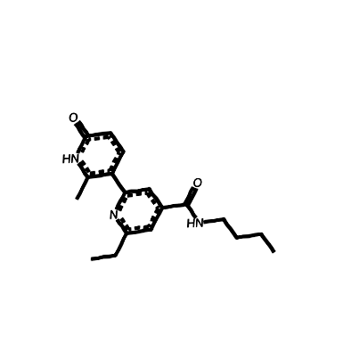 CCCCNC(=O)c1cc(CC)nc(-c2ccc(=O)[nH]c2C)c1